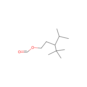 CC(C)C(CCOC=O)C(C)(C)C